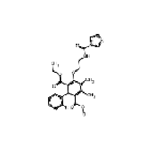 CCOC(=O)C1=C(OCCNC(=O)n2ccnc2)N(C)C(C)=C(C(=O)OC)C1c1ccccc1Cl